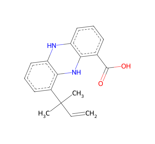 C=CC(C)(C)c1cccc2c1Nc1c(cccc1C(=O)O)N2